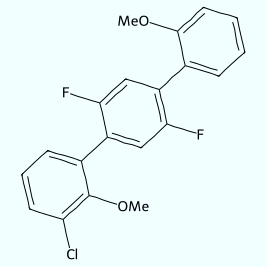 COc1ccccc1-c1cc(F)c(-c2cccc(Cl)c2OC)cc1F